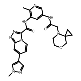 Cc1ncc(NC(=O)CN2CCOCC23CC3)cc1NC(=O)c1nnc2cc(-c3cnn(C)c3)ccn12